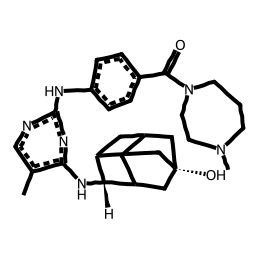 Cc1cnc(Nc2ccc(C(=O)N3CCCN(C)CC3)cc2)nc1N[C@H]1C2CC3CC1C[C@@](O)(C3)C2